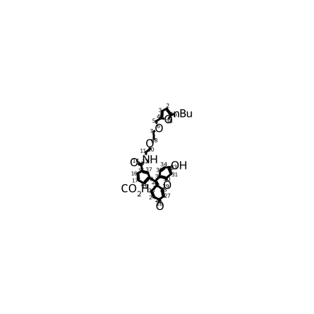 CCCCc1ccc(COCCOCCNC(=O)c2ccc(C(=O)O)c(-c3c4ccc(=O)cc-4oc4cc(O)ccc34)c2)o1